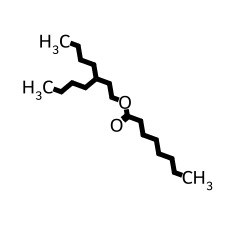 CCCCCCCC(=O)OCCC(CCCC)CCCC